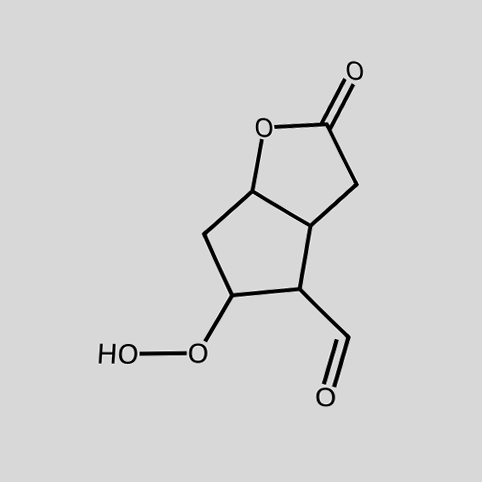 O=CC1C(OO)CC2OC(=O)CC21